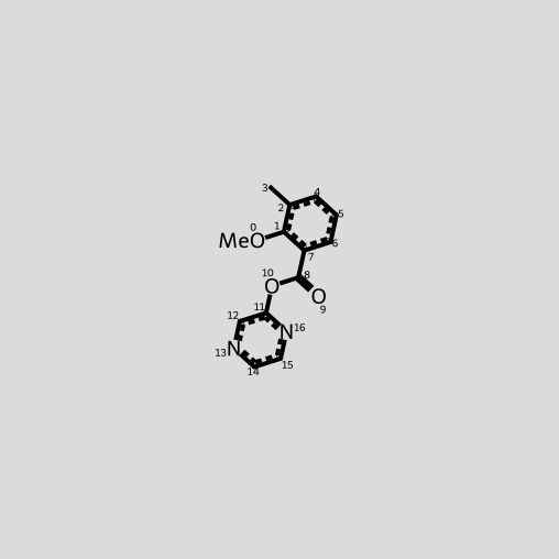 COc1c(C)cccc1C(=O)Oc1cnccn1